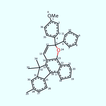 COc1ccc(C2(c3ccccc3)C=Cc3c4c(c5ccccc5c3O2)-c2ccc(C)cc2C4(C)C)cc1